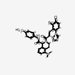 CN(C)c1cccc2c1CCN(C(=O)C=Cc1c(-n3cnnn3)ccc(Cl)c1F)C2C(=O)Nc1ccc(C(=O)O)cc1